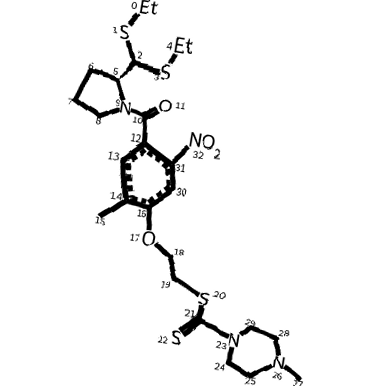 CCSC(SCC)[C@@H]1CCCN1C(=O)c1cc(C)c(OCCSC(=S)N2CCN(C)CC2)cc1[N+](=O)[O-]